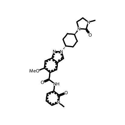 COc1cc2nn([C@H]3CC[C@H](N4CCN(C)C4=O)CC3)cc2cc1C(=O)Nc1cccn(C)c1=O